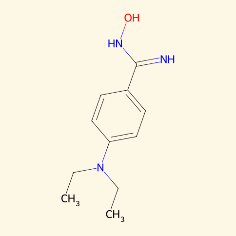 CCN(CC)c1ccc(C(=N)NO)cc1